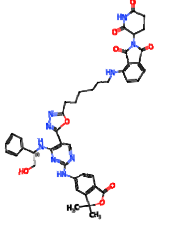 CC1(C)OC(=O)c2ccc(Nc3ncc(-c4nnc(CCCCCCNc5cccc6c5C(=O)N(C5CCC(=O)NC5=O)C6=O)o4)c(N[C@H](CO)c4ccccc4)n3)cc21